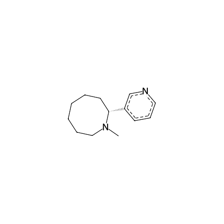 CN1CCCCCC[C@@H]1c1cccnc1